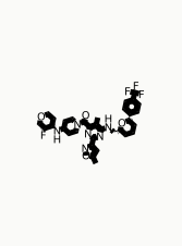 Cc1cc(-c2nc(NC[C@H]3CCC[C@@H](c4ccc(C(F)(F)F)cc4)O3)c(C)c(C(=O)N3CCC(N[C@H]4CCOC[C@H]4F)CC3)n2)no1